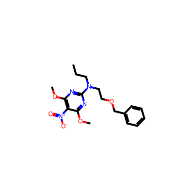 CCCN(CCOCc1ccccc1)c1nc(OC)c([N+](=O)[O-])c(OC)n1